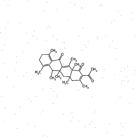 CC(=O)C1=C(C)CC2(C)CC3(C)C(=C(C)C2(C)C1=O)C(=O)C1=C(C)CCC(C)=C1C3C